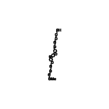 COCCOCCOCCOCCOc1ccc2oc3cc4c(cc3c2c1)oc1ccc(COCCOCCOCCOCCO)cc14